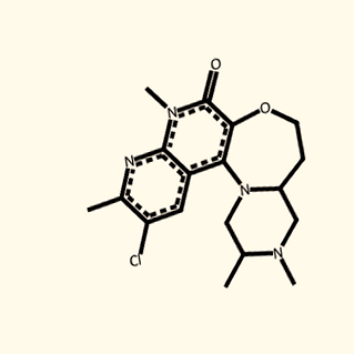 Cc1nc2c(cc1Cl)c1c(c(=O)n2C)OCCC2CN(C)C(C)CN12